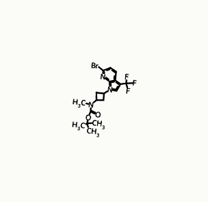 CN(C(=O)OC(C)(C)C)C1CC(n2cc(C(F)(F)F)c3ccc(Br)nc32)C1